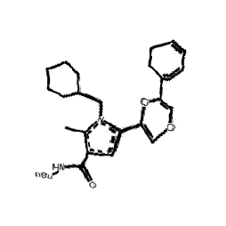 CCCCNC(=O)c1cc(C2=COC=C(C3=CC=CCC3)O2)n(CC2CCCCC2)c1C